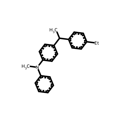 CCc1ccc(C(C)c2ccc(N(C)c3ccccc3)cc2)cc1